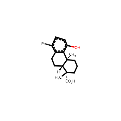 CC(C)c1ccc(O)c2c1CC[C@H]1[C@@](C)(C(=O)O)CCC[C@]21C